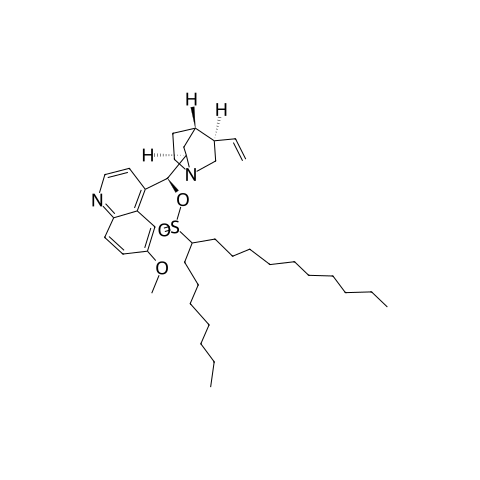 C=C[C@H]1CN2CC[C@H]1C[C@@H]2[C@@H](OS(=O)C(CCCCCCC)CCCCCCCCCC)c1ccnc2ccc(OC)cc12